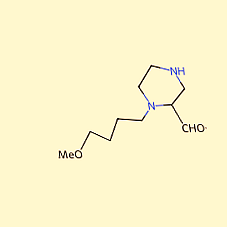 COCCCCN1CCNCC1[C]=O